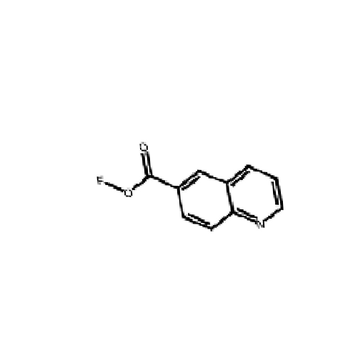 O=C(OF)c1ccc2ncccc2c1